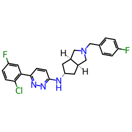 Fc1ccc(CN2C[C@H]3C[C@H](Nc4ccc(-c5cc(F)ccc5Cl)nn4)C[C@H]3C2)cc1